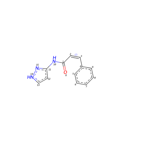 O=C(/C=C\c1ccccc1)Nc1cc[nH]n1